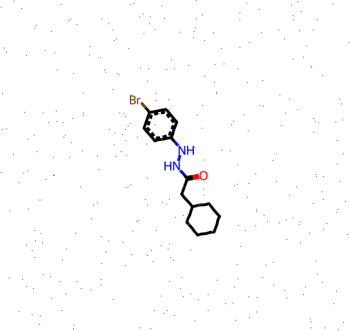 O=C(CC1CCCCC1)NNc1ccc(Br)cc1